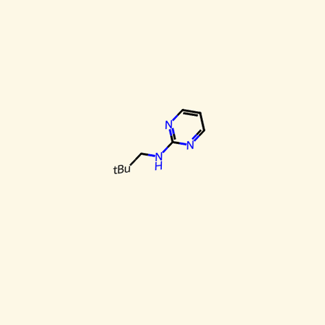 CC(C)(C)CNc1ncccn1